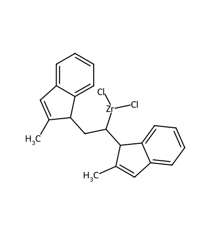 CC1=Cc2ccccc2C1C[CH](C1C(C)=Cc2ccccc21)[Zr]([Cl])[Cl]